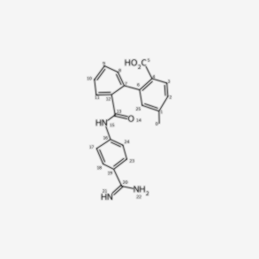 Cc1ccc(C(=O)O)c(-c2ccccc2C(=O)Nc2ccc(C(=N)N)cc2)c1